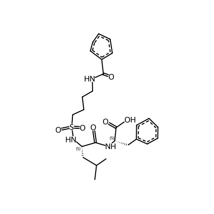 CC(C)C[C@H](NS(=O)(=O)CCCCNC(=O)c1ccccc1)C(=O)N[C@@H](Cc1ccccc1)C(=O)O